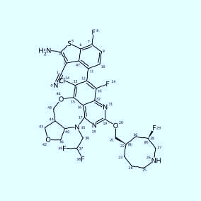 N#Cc1c(N)sc2c(F)ccc(-c3c(Cl)c4c5c(nc(OC[C@@H]6CCCNC[C@H](F)C6)nc5c3F)N(CC(F)F)C3COCC3CO4)c12